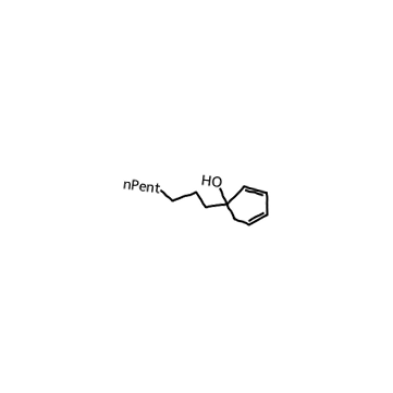 CCCCCCCCC1(O)C=CC=CC1